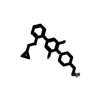 O=C(O)CC1CCN(c2c(F)cc(-c3cccnc3OCC3CC3)cc2F)CC1